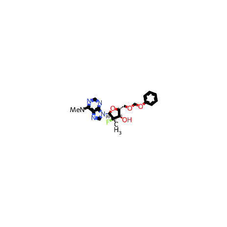 CNc1ncnc2c1ncn2[C@@H]1O[C@H](COCOc2ccccc2)[C@@H](O)[C@@]1(C)F